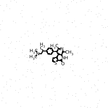 Cc1nc(C)c2[nH]c(=O)c3sccc3c2c1-c1ccc(C(C)CN(C)C)cc1